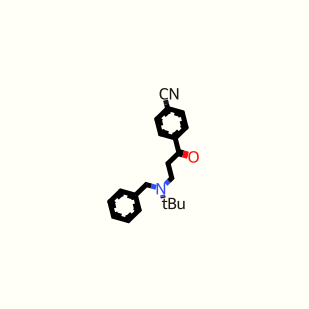 CC(C)(C)N(CCC(=O)c1ccc(C#N)cc1)Cc1ccccc1